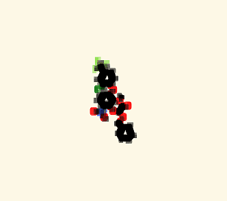 COC(=O)C(OCc1ccccc1)Oc1cc(Oc2ccc(C(F)(F)F)cc2Cl)ccc1[N+](=O)[O-]